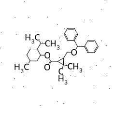 CC1CCC(C(C)C)C(OC(=O)C2C(COC(c3ccccc3)c3ccccc3)C2(C)C)C1